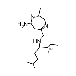 CC[C@H](C)C(CCC(C)C)NCC1=NCC(C)=NC(N)C1